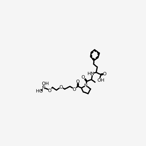 CC(NC(CCc1ccccc1)C(=O)O)C(=O)N1CCCC1C(=O)OCCOCCON(O)O